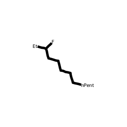 CCCCCCCCCCC(F)CC